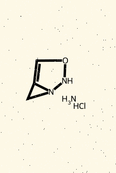 C1=C2CN2NO1.Cl.N